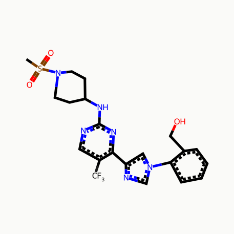 CS(=O)(=O)N1CCC(Nc2ncc(C(F)(F)F)c(-c3cn(-c4ccccc4CO)cn3)n2)CC1